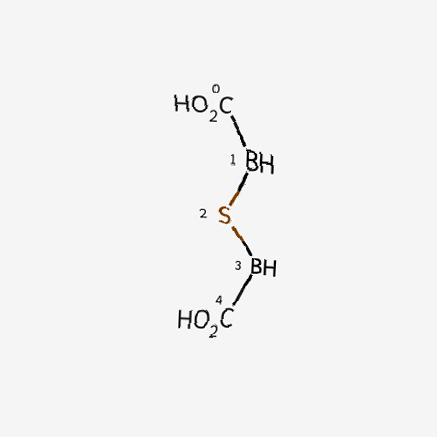 O=C(O)BSBC(=O)O